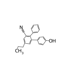 CCCc1cc(C#N)c(-c2ccccc2)c(-c2ccc(O)cc2)c1